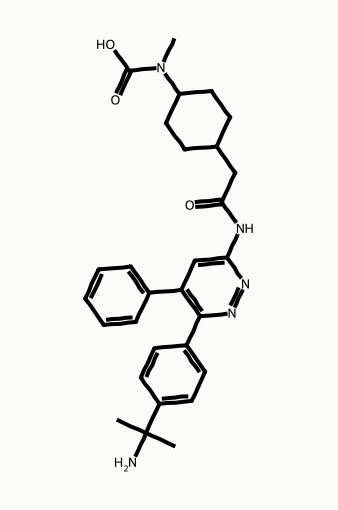 CN(C(=O)O)C1CCC(CC(=O)Nc2cc(-c3ccccc3)c(-c3ccc(C(C)(C)N)cc3)nn2)CC1